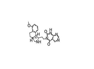 COc1cccc2c1CC[C@H]1CNC(CCn3c(=O)[nH]c4ncncc4c3=O)[C@@H]21